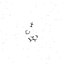 CC(C)(C)C(=O)ON1CC[C@@H](n2cc(I)c3c(Cl)ncnc32)C1